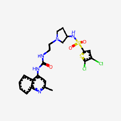 Cc1cc(NC(=O)NCCN2CCC(NS(=O)(=O)c3cc(Cl)c(Cl)s3)C2)c2ccccc2n1